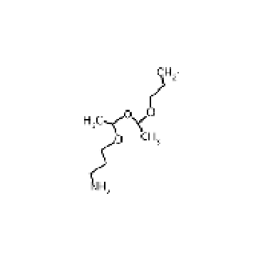 [CH2]CCOC(C)OC(C)OCCCN